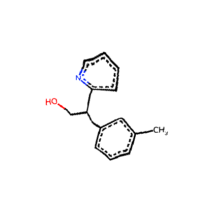 Cc1cccc(C(CO)c2ccccn2)c1